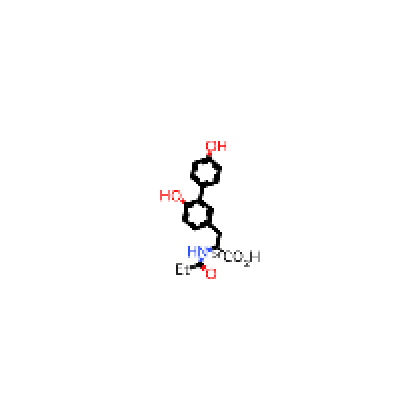 CCC(=O)N[C@@H](Cc1ccc(O)c(-c2ccc(O)cc2)c1)C(=O)O